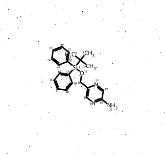 CC(C)(C)[Si](OCc1cnc(N)cn1)(c1ccccc1)c1ccccc1